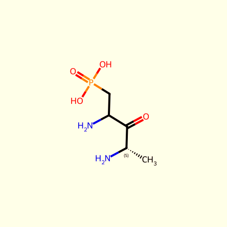 C[C@H](N)C(=O)C(N)CP(=O)(O)O